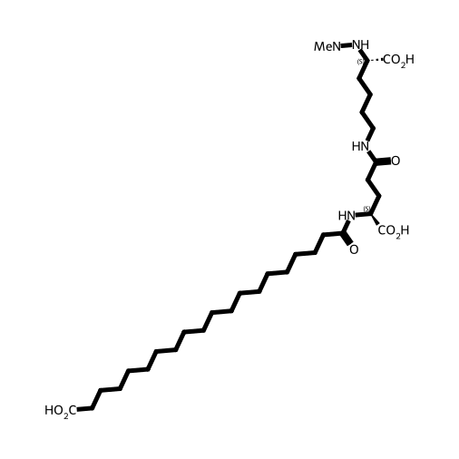 CNN[C@@H](CCCCNC(=O)CC[C@H](NC(=O)CCCCCCCCCCCCCCCCCCC(=O)O)C(=O)O)C(=O)O